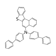 C1=CC2C(N(c3ccc(-c4ccccc4)cc3)c3ccc(-c4ccccc4)cc3)=Cc3sc4ccccc4c3C2C=C1